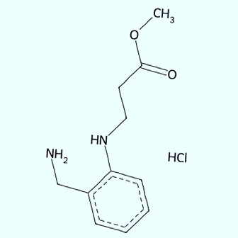 COC(=O)CCNc1ccccc1CN.Cl